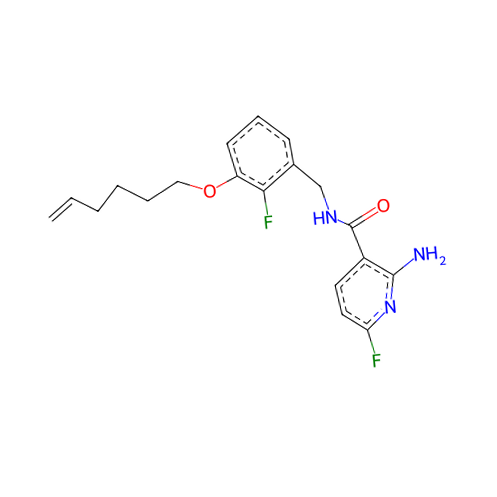 C=CCCCCOc1cccc(CNC(=O)c2ccc(F)nc2N)c1F